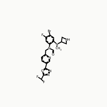 CN(c1cc(Br)c(F)cc1N(C=O)Cc1ccc(-c2nnc(C(F)F)o2)cn1)C1CNC1